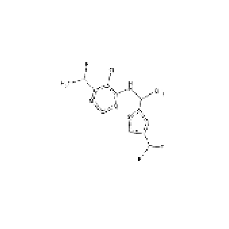 CC(F)c1ncnc(NC(C)c2cc(C(F)F)cs2)c1Cl